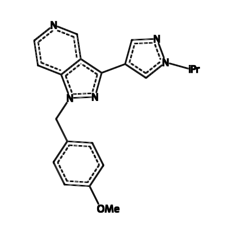 COc1ccc(Cn2nc(-c3cnn(C(C)C)c3)c3cnccc32)cc1